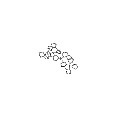 c1ccc(C2(c3ccccc3)c3ccccc3-c3ccc(N(c4ccc5c(c4)C4(c6ccccc6-5)c5ccccc5-c5cccc6ccc(-c7cccc8ccccc78)c4c56)c4cccc5ccccc45)cc32)cc1